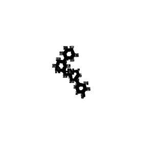 Cc1ccc(C2=CCNC(Cc3cc(-c4ccccc4)ccn3)C2)cc1